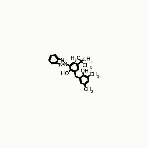 Cc1cc(C)c(O)c(Cc2cc(C(C)(C)C)cc(-n3n4c5ccccc5n34)c2O)c1